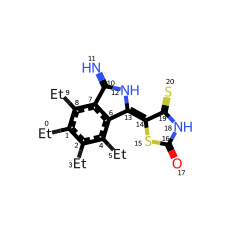 CCc1c(CC)c(CC)c2c(c1CC)C(=N)N/C2=C1/SC(=O)NC1=S